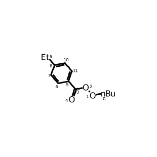 [CH2]CCCOOC(=O)c1ccc(CC)cc1